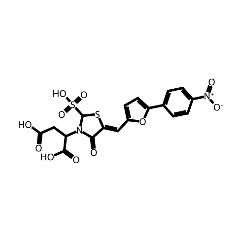 O=C(O)CC(C(=O)O)N1C(=O)C(=Cc2ccc(-c3ccc([N+](=O)[O-])cc3)o2)SC1S(=O)(=O)O